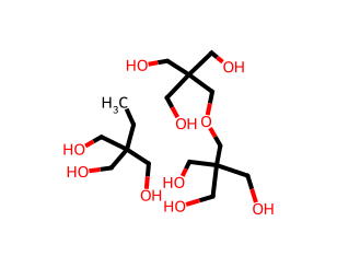 CCC(CO)(CO)CO.OCC(CO)(CO)COCC(CO)(CO)CO